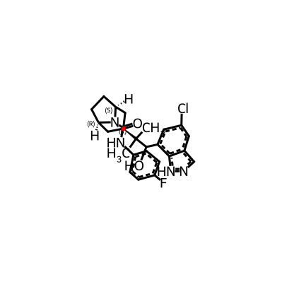 CC(C)(C(O)c1cc(Cl)cc2cn[nH]c12)[C@H]1C[C@H]2CC[C@@H](C1)N2C(=O)Nc1ccc(F)cc1